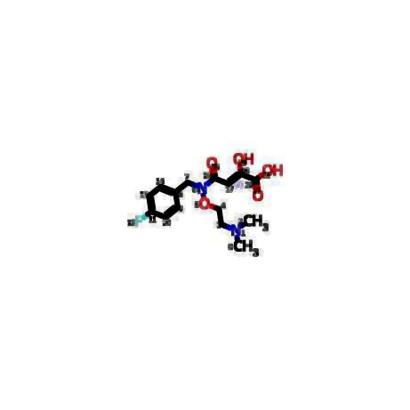 CN(C)CCON(Cc1ccc(F)cc1)C(=O)/C=C(\O)C(=O)O